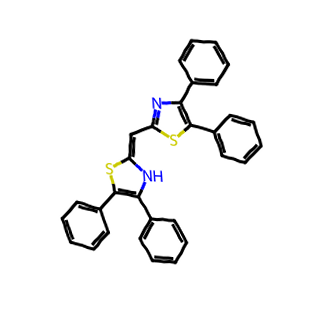 C(=C1/NC(c2ccccc2)=C(c2ccccc2)S1)/c1nc(-c2ccccc2)c(-c2ccccc2)s1